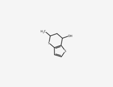 CC1CC(O)c2sccc2S1